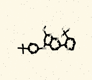 COc1cc(Nc2ccc(C(C)(C)C)cc2)c2ccc(-c3ncccc3C(F)(F)F)nc2n1